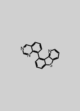 c1cc(-c2cccc3sc4cccnc4c23)c2ncncc2c1